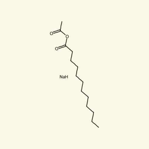 CCCCCCCCCCCC(=O)OC(C)=O.[NaH]